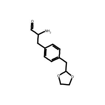 NC(C=O)Cc1ccc(CC2OCCO2)cc1